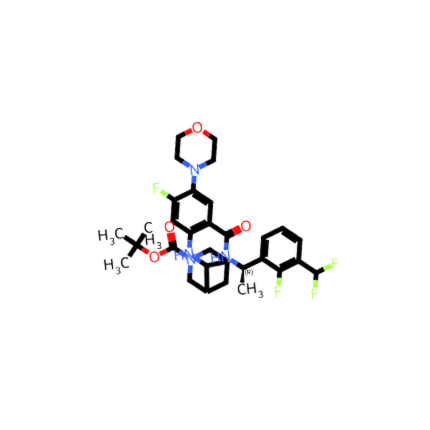 C[C@@H](NC(=O)c1cc(N2CCOCC2)c(F)cc1NC1C2CC1CN(C(=O)OC(C)(C)C)C2)c1cccc(C(F)F)c1F